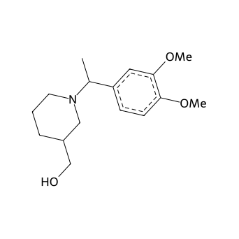 COc1ccc(C(C)N2CCCC(CO)C2)cc1OC